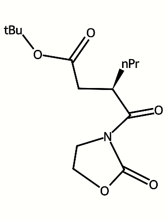 CCC[C@H](CC(=O)OC(C)(C)C)C(=O)N1CCOC1=O